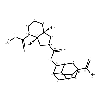 CC(C)(C)OC(=O)N1CCC[C@@H]2CN(C(=O)OC3C4CC5CC3CC(C(N)=O)(C5)C4)C[C@@H]21